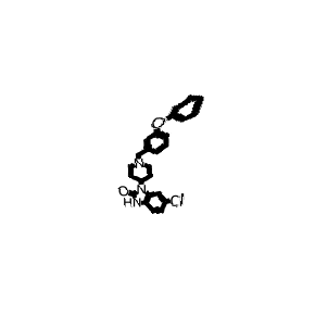 O=c1[nH]c2ccc(Cl)cc2n1C1CCN(Cc2cccc(Oc3ccccc3)c2)CC1